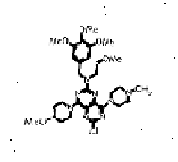 COCCN(Cc1cc(OC)c(OC)c(OC)c1)c1nc(N2CCC(OC)CC2)c2nc(Cl)nc(N3CCN(C)CC3)c2n1